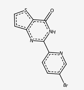 O=c1[nH]c(-c2ccc(Br)cn2)nc2ccsc12